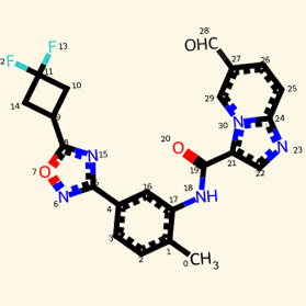 Cc1ccc(-c2noc(C3CC(F)(F)C3)n2)cc1NC(=O)c1cnc2ccc(C=O)cn12